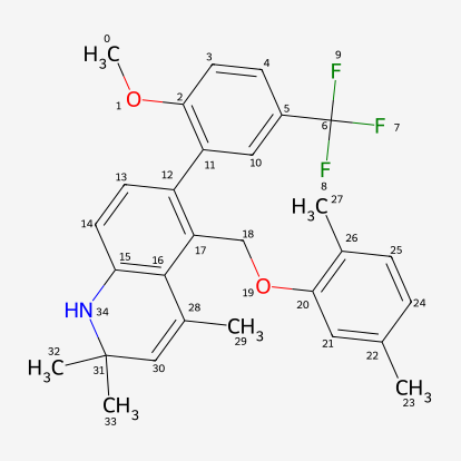 COc1ccc(C(F)(F)F)cc1-c1ccc2c(c1COc1cc(C)ccc1C)C(C)=CC(C)(C)N2